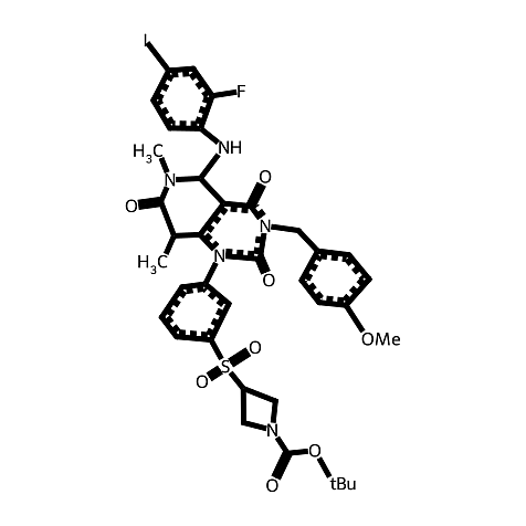 COc1ccc(Cn2c(=O)c3c(n(-c4cccc(S(=O)(=O)C5CN(C(=O)OC(C)(C)C)C5)c4)c2=O)C(C)C(=O)N(C)C3Nc2ccc(I)cc2F)cc1